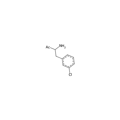 CC(=O)C(N)Cc1cccc(Cl)c1